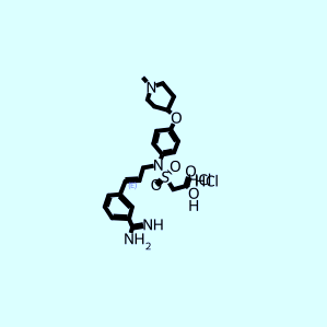 CN1CCC(Oc2ccc(N(C/C=C/c3cccc(C(=N)N)c3)S(=O)(=O)CC(=O)O)cc2)CC1.Cl.Cl